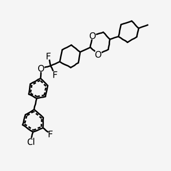 CC1CCC(C2COC(C3CCC(C(F)(F)Oc4ccc(-c5ccc(Cl)c(F)c5)cc4)CC3)OC2)CC1